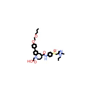 CCCCOCCOc1ccc(-c2ccc3c(c2)/C=C(/C(=O)Nc2ccc([S@@+]([O-])Cc4cnc(C)n4CCC)cc2)CCCN3CC(=O)O)cc1